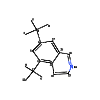 CC(C)(C)c1cc(C(C)(C)C)c2ccncc2c1